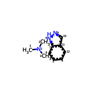 CN(C)C.c1ccc2[nH]ncc2c1